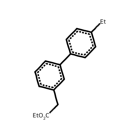 CCOC(=O)Cc1cccc(-c2ccc(CC)cc2)c1